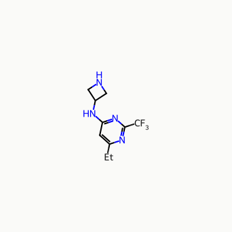 CCc1cc(NC2CNC2)nc(C(F)(F)F)n1